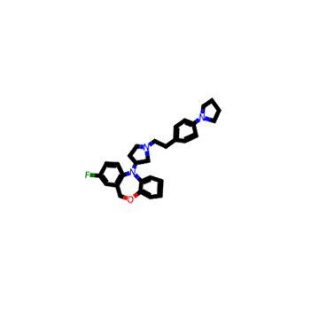 Fc1ccc2c(c1)COc1ccccc1N2C1CCN(CCc2ccc(N3CCCC3)cc2)C1